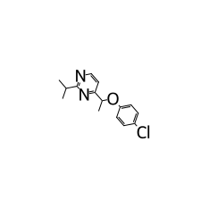 CC(C)c1nccc(C(C)Oc2ccc(Cl)cc2)n1